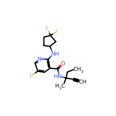 C#CC(C)(CC)NC(=O)c1cc(F)cnc1NC1CCC(F)(F)C1